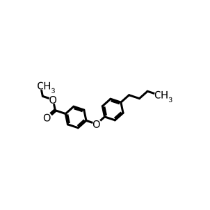 CCCCc1ccc(Oc2ccc(C(=O)OCC)cc2)cc1